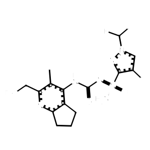 Cc1c(CC(F)(F)F)nc2c(c1NC(=O)N=[S@](N)(=O)c1nn(C(F)F)cc1F)CCC2